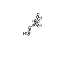 CC(Nc1nc(N2CC(C3CCCN(C4CC(C)(C(=O)O)C4)C3)C2)nc(CO)c1Cl)c1ccc(Cl)cc1Cl